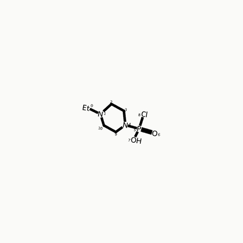 CCN1CCN(P(=O)(O)Cl)CC1